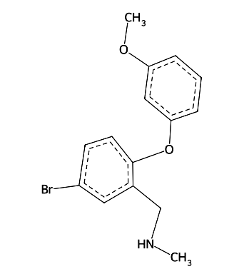 CNCc1cc(Br)ccc1Oc1cccc(OC)c1